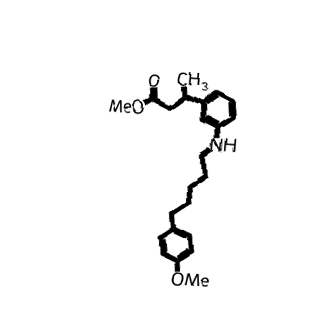 COC(=O)CC(C)c1cccc(NCCCCCc2ccc(OC)cc2)c1